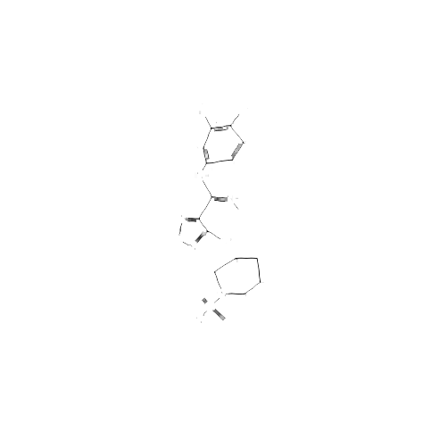 NS(=O)(=O)N1CCC[C@@H](Sc2nonc2C(=NO)Nc2ccc(F)c(Br)c2)C1